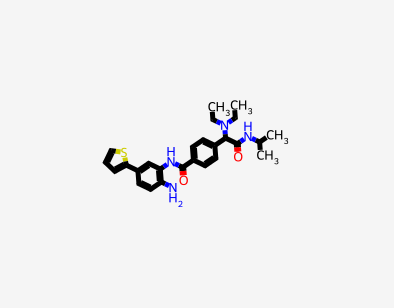 CCN(CC)C(C(=O)NC(C)C)c1ccc(C(=O)Nc2cc(-c3cccs3)ccc2N)cc1